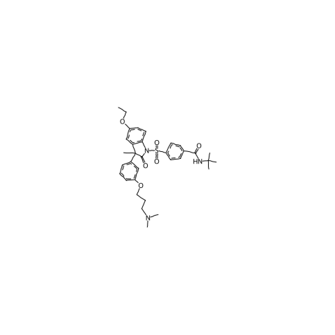 CCOc1ccc2c(c1)C(C)(c1cccc(OCCCN(C)C)c1)C(=O)N2S(=O)(=O)c1ccc(C(=O)NC(C)(C)C)cc1